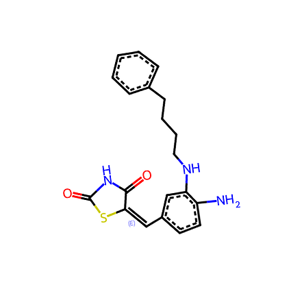 Nc1ccc(/C=C2/SC(=O)NC2=O)cc1NCCCCc1ccccc1